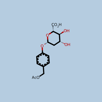 CC(=O)OCc1ccc(O[C@H]2C[C@@H](O)[C@H](O)[C@@H](C(=O)O)O2)cc1